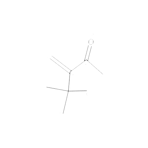 C=C(C(C)=O)C(C)(C)C